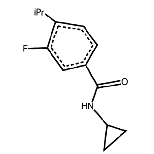 CC(C)c1ccc(C(=O)NC2CC2)cc1F